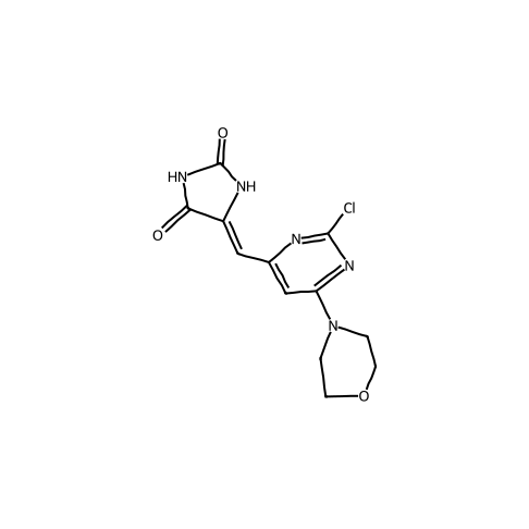 O=C1NC(=O)C(=Cc2cc(N3CCOCC3)nc(Cl)n2)N1